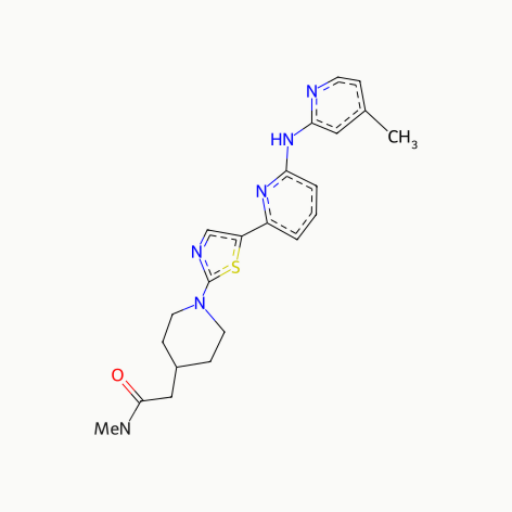 CNC(=O)CC1CCN(c2ncc(-c3cccc(Nc4cc(C)ccn4)n3)s2)CC1